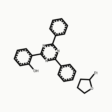 CCC1CCCO1.Oc1ccccc1-c1nc(-c2ccccc2)nc(-c2ccccc2)n1